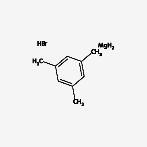 Br.Cc1cc(C)cc(C)c1.[MgH2]